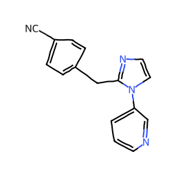 N#Cc1ccc(Cc2nccn2-c2cccnc2)cc1